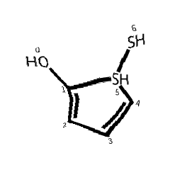 OC1=CC=C[SH]1S